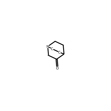 O=C1[CH]N2CCC1CC2